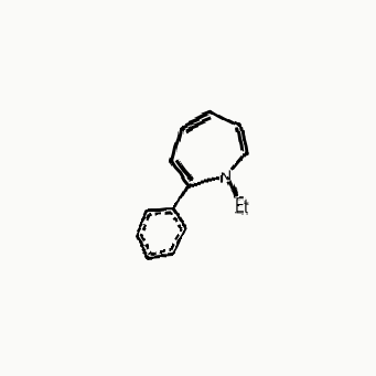 CCN1C=CC=CC=C1c1ccccc1